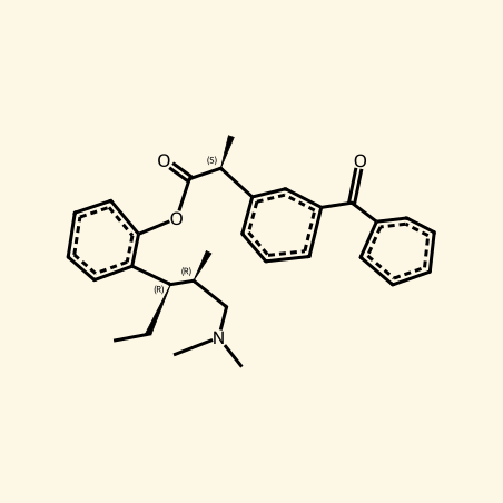 CC[C@@H](c1ccccc1OC(=O)[C@@H](C)c1cccc(C(=O)c2ccccc2)c1)[C@@H](C)CN(C)C